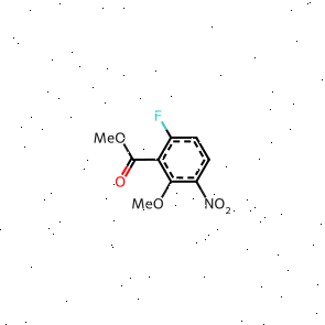 COC(=O)c1c(F)ccc([N+](=O)[O-])c1OC